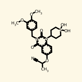 COc1ccc(Cn2c(=O)c3cc(OC(C)C#N)ccc3n(C3CCS(O)(O)CC3)c2=O)cc1OC